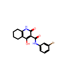 O=C(Nc1cccc(Br)c1)c1c(O)c2c([nH]c1=O)CCCC2